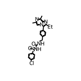 CCc1nc2c(C)nc(C)cn2c1-c1ccc(CCNC(=O)N[S+]([O-])c2ccc(Cl)cc2)cc1